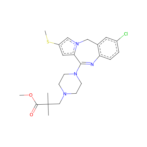 COC(=O)C(C)(C)CN1CCN(C2=Nc3ccc(Cl)cc3Cn3cc(SC)cc32)CC1